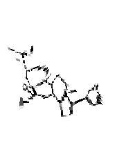 CC(=O)O[C@H]1CC[C@]2(C)C3CC[C@]4(C)C(c5cccnc5)=CCC4C3C[C@@H]3O[C@@]32C1